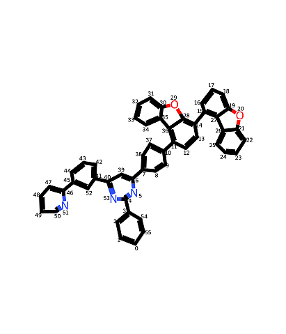 c1ccc(-c2nc(-c3ccc(-c4ccc(-c5cccc6oc7ccccc7c56)c5oc6ccccc6c45)cc3)cc(-c3cccc(-c4ccccn4)c3)n2)cc1